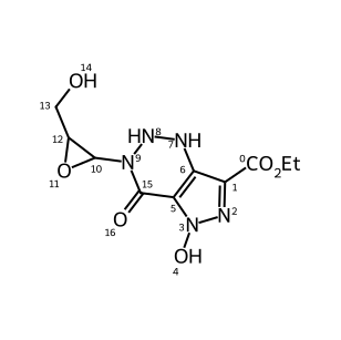 CCOC(=O)c1nn(O)c2c1NNN(C1OC1CO)C2=O